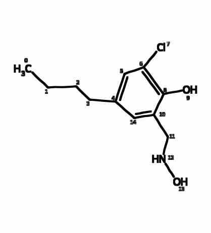 CCCCc1cc(Cl)c(O)c(CNO)c1